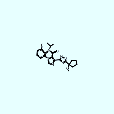 COC1(c2nc(-c3ncn4c3c(=O)n(C(C)C)c3c(F)cccc34)no2)CCCC1